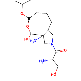 CC(C)OB1CCCC2CN(C(=O)C(N)CO)CC2(N)C(O)O1